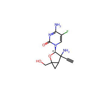 C#CC1(N)C2CC2(CO)O[C@H]1n1cc(F)c(N)nc1=O